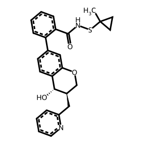 CC1(SNC(=O)c2ccccc2-c2ccc3c(c2)OC[C@@H](Cc2ccccn2)[C@@H]3O)CC1